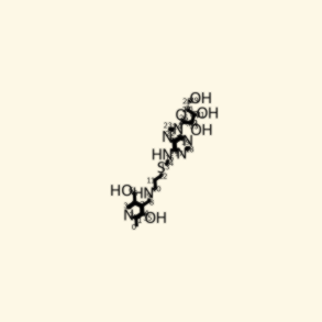 Cc1ncc(CO)c(CNCCCSCNc2ncnc3c2ncn3[C@@H]2O[C@H](CO)[C@@H](O)[C@H]2O)c1O